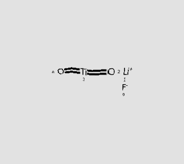 [F-].[Li+].[O]=[Ti]=[O]